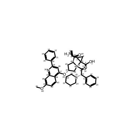 C=CC1CC1(C(=O)O)[N+]1(C(=O)[C@H](c2ccccc2)N2CCCCC2)C[C@H](Oc2cc(-c3ccccc3)nc3cc(OC)ccc23)C[C@H]1C(N)=O